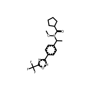 CON(C(=O)C1CCCC1)C(C)c1ccc(-c2noc(C(F)(F)F)n2)cc1